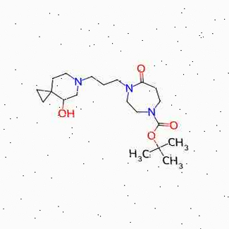 CC(C)(C)OC(=O)N1CCC(=O)N(CCCN2CCC3(CC3)C(O)C2)CC1